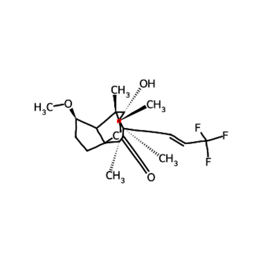 CO[C@@H]1CCC23CC[C@@H](C)[C@](C)(C12)[C@H](O)C[C@@](C)(C=CC(F)(F)F)C(=O)[C@@H]3C